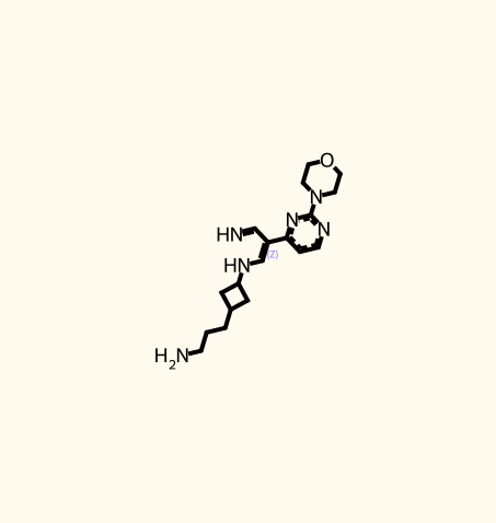 N=C/C(=C\NC1CC(CCCN)C1)c1ccnc(N2CCOCC2)n1